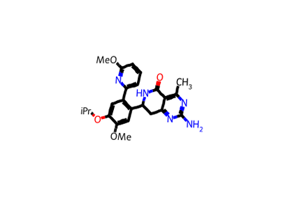 COc1cccc(-c2cc(OC(C)C)c(OC)cc2C2Cc3nc(N)nc(C)c3C(=O)N2)n1